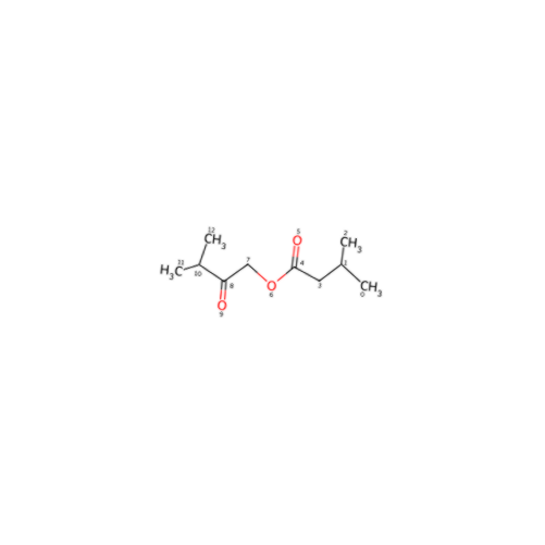 CC(C)CC(=O)OCC(=O)C(C)C